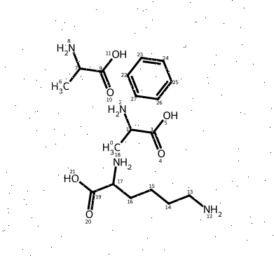 CC(N)C(=O)O.CC(N)C(=O)O.NCCCCC(N)C(=O)O.c1ccccc1